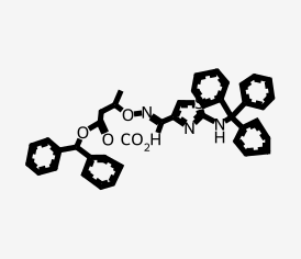 CC(CC(=O)OC(c1ccccc1)c1ccccc1)O/N=C(\C(=O)O)c1csc(NC(c2ccccc2)(c2ccccc2)c2ccccc2)n1